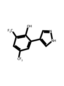 Oc1c(-c2cn[nH]c2)cc(C(F)(F)F)cc1C(F)(F)F